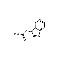 O=C(O)Cn1cnc2ncncc21